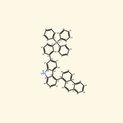 c1ccc([Si](c2ccccc2)(c2ccccc2)c2cccc(-c3ccc4c(c3)[nH]c3cccc(-c5cccc6c5ccc5ccccc56)c34)c2)cc1